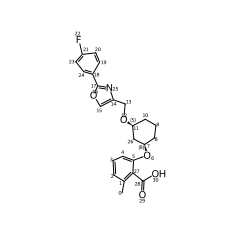 Cc1cccc(O[C@@H]2CCC[C@H](OCc3coc(-c4ccc(F)cc4)n3)C2)c1C(=O)O